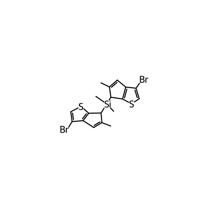 CC1=Cc2c(Br)csc2C1[Si](C)(C)C1C(C)=Cc2c(Br)csc21